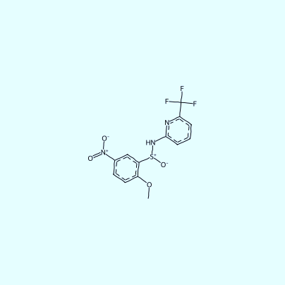 COc1ccc([N+](=O)[O-])cc1[S+]([O-])Nc1cccc(C(F)(F)F)n1